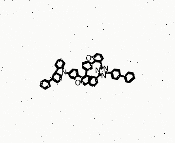 c1ccc(-c2ccc(-c3nc(-c4ccccc4)nc(-c4cccc5oc6ccc(-c7cccc8oc9cc(-n%10c%11ccccc%11c%11cc(-c%12ccccc%12)ccc%11%10)ccc9c78)cc6c45)n3)cc2)cc1